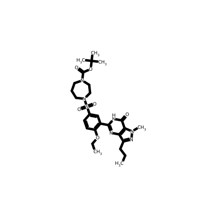 CCCc1nn(C)c2c(=O)[nH]c(-c3cc(S(=O)(=O)N4CCCN(C(=O)OC(C)(C)C)CC4)ccc3OCC)nc12